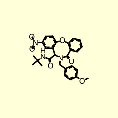 COc1ccc(CN2C(=O)c3ccccc3Oc3ccc([N+](=O)[O-])cc3C2C(=O)NC(C)(C)C)cc1